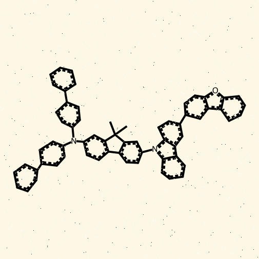 CC1(C)c2cc(N(c3ccc(-c4ccccc4)cc3)c3ccc(-c4ccccc4)cc3)ccc2-c2ccc(-n3c4ccccc4c4cc(-c5ccc6oc7ccccc7c6c5)ccc43)cc21